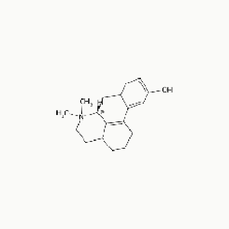 C[N+]1(C)CCC2CCCC3=C2[C@H]1CC1CC=C(O)C=C31